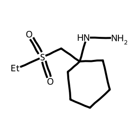 CCS(=O)(=O)CC1(NN)CCCCC1